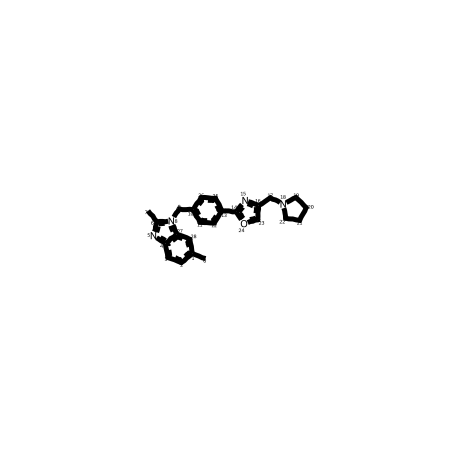 Cc1ccc2nc(C)n(Cc3ccc(-c4nc(CN5CCCC5)co4)cc3)c2c1